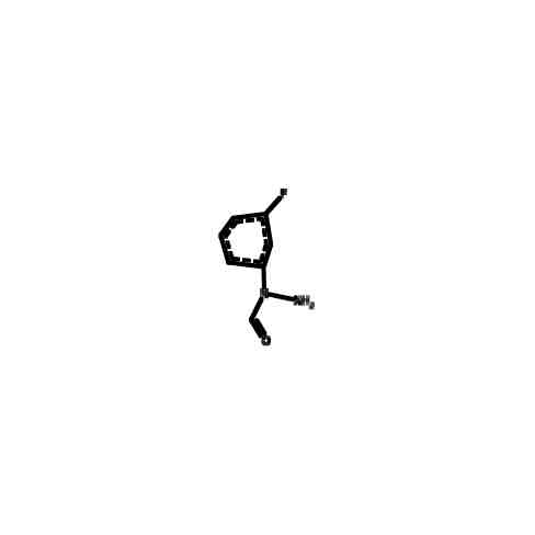 NN(C=O)c1cccc(F)c1